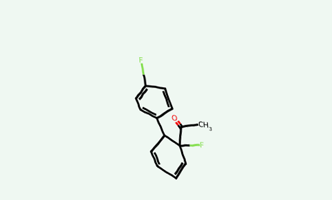 CC(=O)C1(F)C=CC=CC1c1ccc(F)cc1